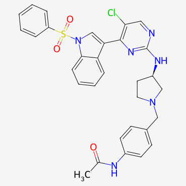 CC(=O)Nc1ccc(CN2CC[C@@H](Nc3ncc(Cl)c(-c4cn(S(=O)(=O)c5ccccc5)c5ccccc45)n3)C2)cc1